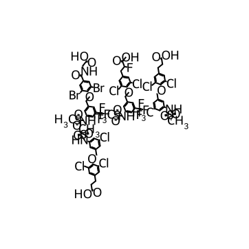 CS(=O)(=O)Nc1cc(COc2c(Br)cc(C(=O)NCC(=O)O)cc2Br)cc(C(F)(F)F)c1.CS(=O)(=O)Nc1cc(COc2c(Cl)cc(CC(F)C(=O)O)cc2Cl)cc(C(F)(F)F)c1.CS(=O)(=O)Nc1cc(Cl)cc(COc2c(Cl)cc(CCC(=O)O)cc2Cl)c1.Cc1cc(COc2c(Cl)cc(CCC(=O)O)cc2Cl)cc(NS(C)(=O)=O)c1